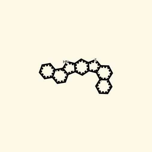 c1ccc2c(c1)ccc1c3cc4c(cc3[nH]c21)sc1ccc2ccccc2c14